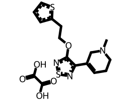 CN1CCC=C(c2nsnc2OCCc2cccs2)C1.O=C(O)C(=O)O